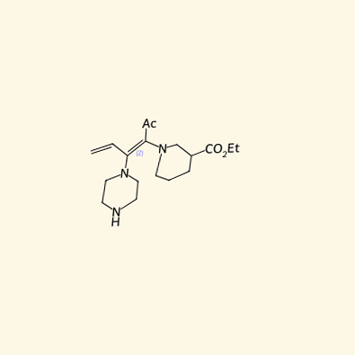 C=C/C(=C(\C(C)=O)N1CCCC(C(=O)OCC)C1)N1CCNCC1